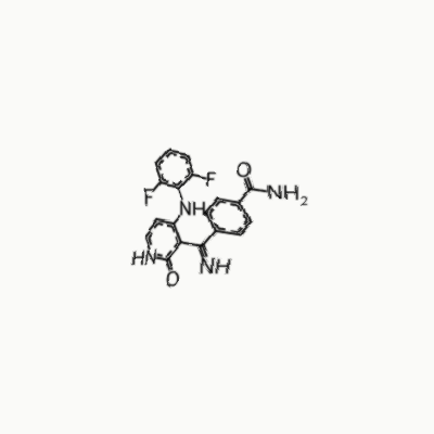 N=C(c1ccc(C(N)=O)cc1)c1c(Nc2c(F)cccc2F)cc[nH]c1=O